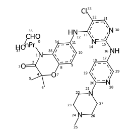 CCCN1C(=O)C(C)(C)Oc2ccc(Nc3nc(Nc4ccc(N5CCN(C)CC5)nc4)ncc3Cl)cc21.O=CO